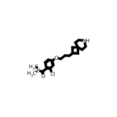 CN(C)C(=O)c1ccc(OCCCC2CC3(CCNCC3)C2)cc1Cl